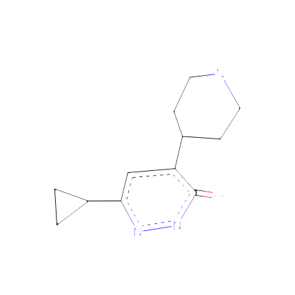 O=c1[nH]nc(C2CC2)cc1C1CCNCC1